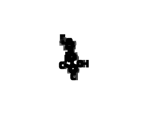 Oc1cc(Cl)cc(Cl)c1-c1ccc(N2CCO[C@H](CF)C2)nn1